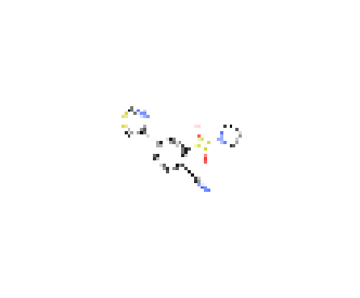 N#Cc1ccc(-c2cs[c]n2)cc1S(=O)(=O)N1CCC1